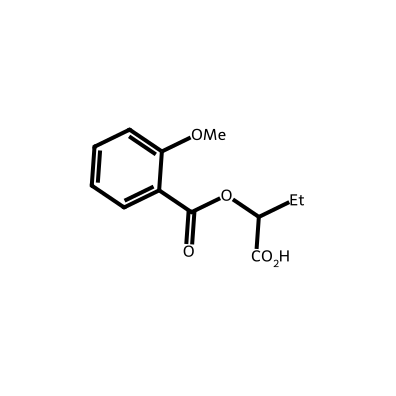 CCC(OC(=O)c1ccccc1OC)C(=O)O